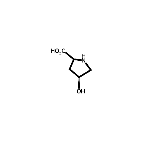 O=C(O)C1C[C@H](O)CN1